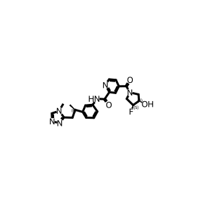 C[C@H](Cc1nncn1C)c1cccc(NC(=O)c2cc(C(=O)N3C[C@H](O)[C@@H](F)C3)ccn2)c1